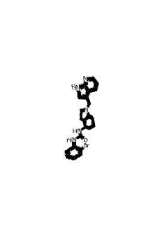 O=C(Nc1ccccc1Br)Nc1cccc2c1CCN2Cc1c[nH]c2ncccc12